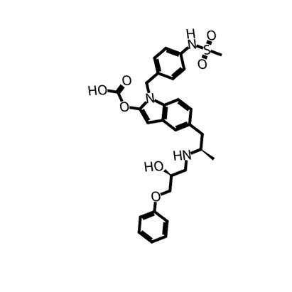 C[C@H](Cc1ccc2c(c1)cc(OC(=O)O)n2Cc1ccc(NS(C)(=O)=O)cc1)NC[C@H](O)COc1ccccc1